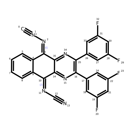 [C-]#[N+]/N=C1\c2ccccc2/C(=N/C#N)c2nc(-c3cc(F)cc(F)c3)c(-c3cc(F)cc(F)c3)nc21